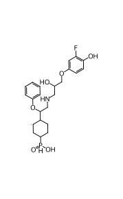 O=[PH](O)C1C[CH]C(C(CNCC(O)COc2ccc(O)c(F)c2)Oc2ccccc2)CC1